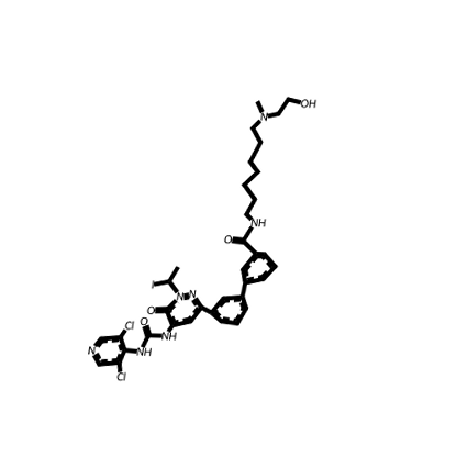 CC(I)n1nc(-c2cccc(-c3cccc(C(=O)NCCCCCCCN(C)CCO)c3)c2)cc(NC(=O)Nc2c(Cl)cncc2Cl)c1=O